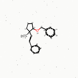 CCOC(=O)C1(C=Cc2ccccc2)CCCC1OCc1ccccc1